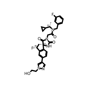 C[C@@H](C1CC1)N(Cc1cccc(F)c1)C(=O)CN1C(=O)N[C@]2(C[C@@H](F)c3cc(-c4cnn(CCO)c4)ccc32)C1=O